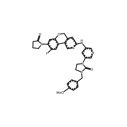 COc1ccc(CN2CCN(c3cncc(Nc4cc5c(cn4)-c4cc(F)c(N6CCCC6=O)cc4OC5)c3)C2=O)cc1